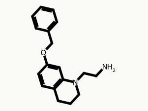 NCCN1CCCc2ccc(OCc3ccccc3)cc21